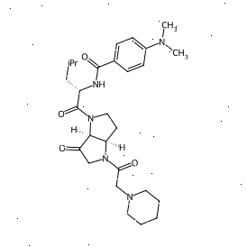 CC(C)C[C@H](NC(=O)c1ccc(N(C)C)cc1)C(=O)N1CC[C@@H]2[C@H]1C(=O)CN2C(=O)CN1CCCCC1